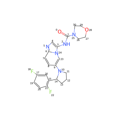 O=C(Nc1cnc2ccc(N3CCCC3c3cc(F)ccc3F)cn12)N1CCOCC1